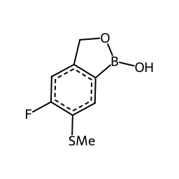 CSc1cc2c(cc1F)COB2O